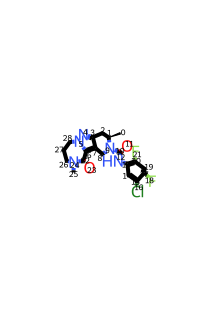 C[C@@H]1Cc2nn3c(c2CN1C(=O)Nc1cc(Cl)c(F)cc1F)C(=O)N(C)CCC3